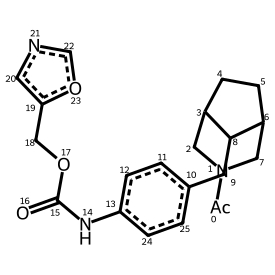 CC(=O)N1CC2CCC(C1)C2Cc1ccc(NC(=O)OCc2cnco2)cc1